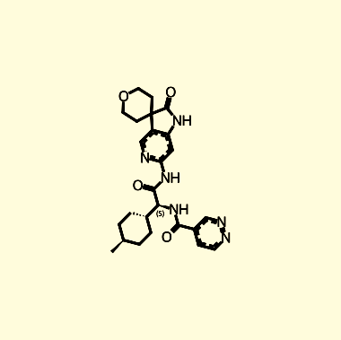 C[C@H]1CC[C@H]([C@H](NC(=O)c2ccnnc2)C(=O)Nc2cc3c(cn2)C2(CCOCC2)C(=O)N3)CC1